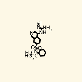 CN(C1(C(=O)O)CCCCC1)S(=O)(=O)c1ccc2c(NC(N)=NCl)cncc2c1